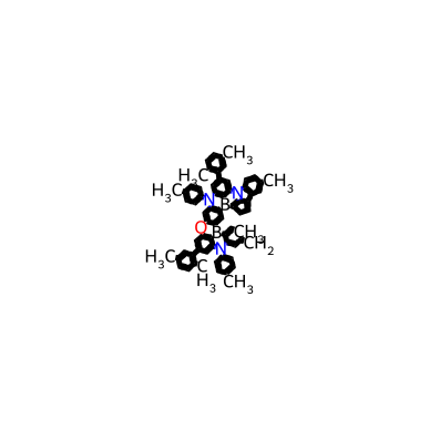 C=C/C=C1\C(=C/C)B2c3cc4c(cc3Oc3cc(-c5cc(C)ccc5C)cc(c32)N1c1ccc(C)cc1)N(c1ccc(C)cc1)c1cc(-c2cc(C)ccc2C)cc2c1B4C1=c3c(c4cc(C)ccc4n3-2)=CC1